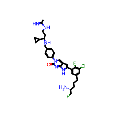 CC(=N)NCCC(NCc1ccc(-n2cc3cc(-c4cc(CCC[C@@H](N)CF)cc(Cl)c4F)[nH]c3nc2=O)cc1)C1CC1